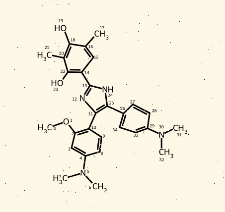 COc1cc(N(C)C)ccc1-c1nc(-c2cc(C)c(O)c(C)c2O)[nH]c1-c1ccc(N(C)C)cc1